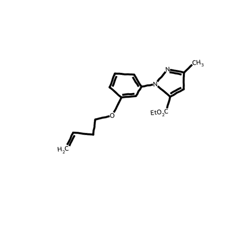 C=CCCOc1cccc(-n2nc(C)cc2C(=O)OCC)c1